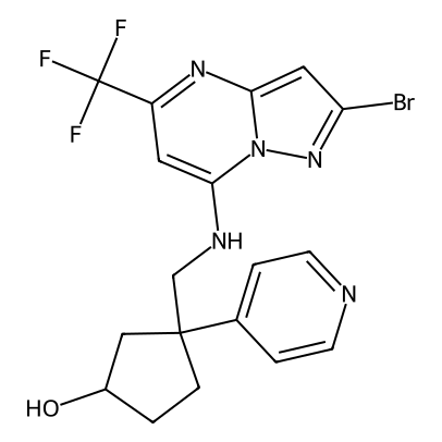 OC1CCC(CNc2cc(C(F)(F)F)nc3cc(Br)nn23)(c2ccncc2)C1